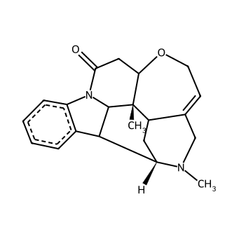 CN1CC2=CCOC3CC(=O)N4c5ccccc5C5C4[C@@]3(C)C2C[C@@H]51